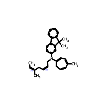 C/C=C(/C)C/C=C\CN(C1=CC=C(C)C=CC1)c1ccc2c(c1)C(C)(C)c1ccccc1-2